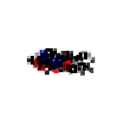 C/C=C(\C)C[C@@H](C)CC/C=C(\C)C(=O)OCC(=O)N(C(C)C)[C@@H](C)C(=O)N(C)CC(=O)N(C)CC(=O)N[C@H](C(=O)NC(C)(C)C(=O)O)C(C)CC